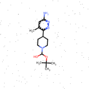 Cc1cc(N)nnc1C1CCN(C(O)OC(C)(C)C)CC1